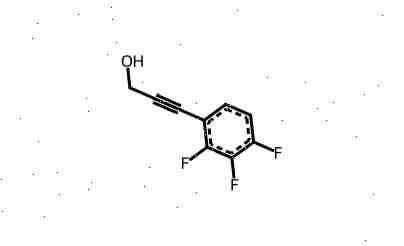 OCC#Cc1ccc(F)c(F)c1F